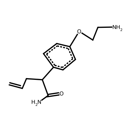 C=CCC(C(N)=O)c1ccc(OCCN)cc1